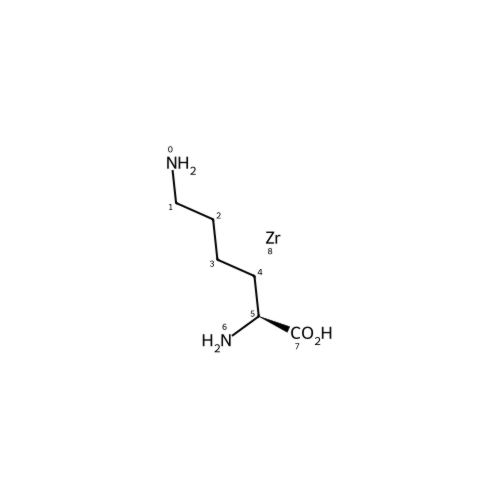 NCCCC[C@H](N)C(=O)O.[Zr]